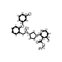 CCN(Cc1ccccc1Oc1cccc(Cl)c1)[C@@H]1CCN(c2nccc(C)c2C(=O)OC(C)C)C1